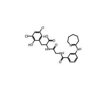 O=C(CNC(=O)c1cccc(NC2=NCCCCC2)c1)NC(Cc1cc(Cl)cc(Cl)c1O)C(=O)O